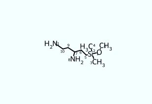 CO[Si](C)(C)CCC(N)CCN